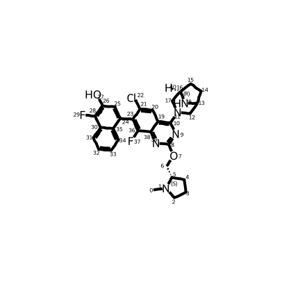 CN1CCC[C@H]1COc1nc(N2CC3CC[C@H](C2)N3)c2cc(Cl)c(-c3cc(O)c(F)c4ccccc34)c(F)c2n1